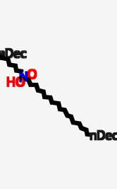 CCCCCCCCCCCCCCCCCCCCCCCCCCCC(=O)N(O)CCCCCCCCCCCCCCCC